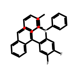 CC=C(C)c1ccc2ccccc2c1-c1cc(F)c(F)cc1P(c1ccccc1)c1ccccc1